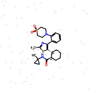 N#CC1(NC(=O)[C@@H]2CCCC[C@H]2c2sc(C(F)(F)F)nc2-c2ccccc2N2CCS(=O)(=O)CC2)CC1